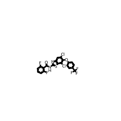 O=C(Nc1nc2cc(Cl)c(Oc3ccc(C(F)(F)F)cc3)c(Cl)c2s1)c1c(F)cccc1F